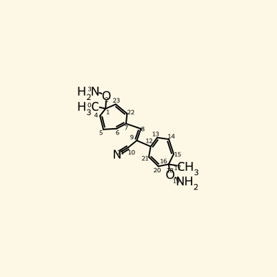 CC1(ON)C=CC=C(/C=C(\C#N)C2=CC=CC(C)(ON)C=C2)C=C1